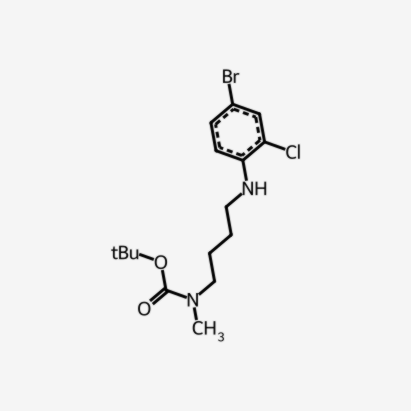 CN(CCCCNc1ccc(Br)cc1Cl)C(=O)OC(C)(C)C